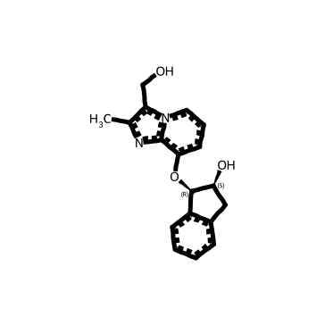 Cc1nc2c(O[C@@H]3c4ccccc4C[C@@H]3O)cccn2c1CO